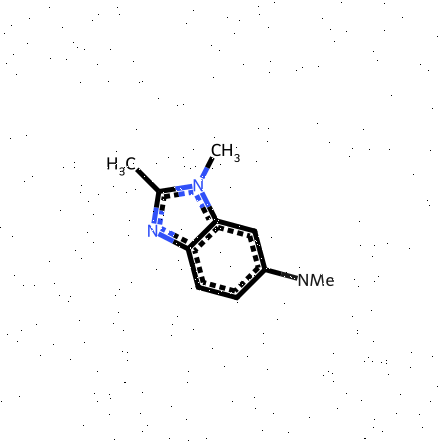 CNc1ccc2nc(C)n(C)c2c1